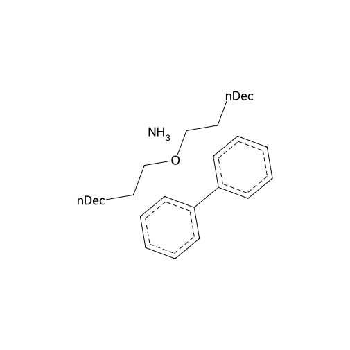 CCCCCCCCCCCCOCCCCCCCCCCCC.N.c1ccc(-c2ccccc2)cc1